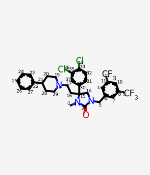 CN1C(=O)N(Cc2cc(C(F)(F)F)cc(C(F)(F)F)c2)CC1(CCN1CCC(c2ccccc2)CC1)c1ccc(Cl)c(Cl)c1